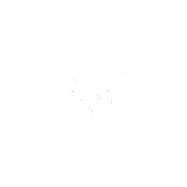 Cc1ccnc2c(F)c3c(cc12)[nH]c(=O)n3-c1ccc(Br)cc1F